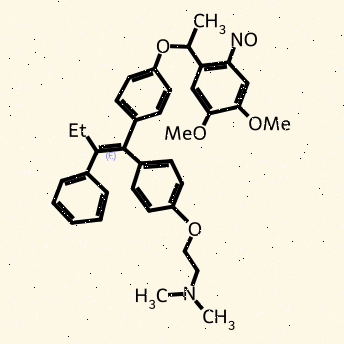 CC/C(=C(/c1ccc(OCCN(C)C)cc1)c1ccc(OC(C)c2cc(OC)c(OC)cc2N=O)cc1)c1ccccc1